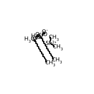 CCCCCCCCCCCCCCCCCCN(C)CCC(=O)[O-].CCCCCCCCCCCCCCCCCCN(C)CCC(=O)[O-].CCC[CH2][Sn+2][CH2]CCC